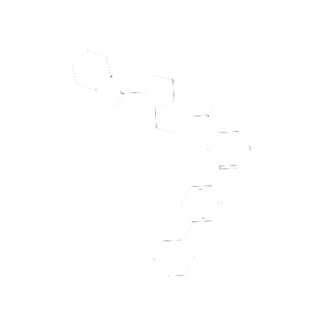 CC(C)CC(NC(=O)c1ccc(N2CCOCC2)cc1)C(=O)N1CCC2C1C(=O)CN2C(=O)C1(O)CCCCC1